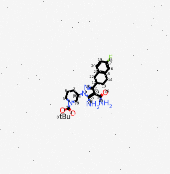 CC(C)(C)OC(=O)N1CCC[C@@H](n2nc(C3CCc4cc(F)ccc4C3)c(C(N)=O)c2N)C1